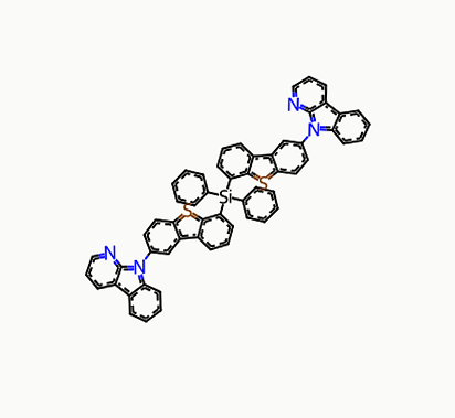 c1ccc([Si](c2ccccc2)(c2cccc3c2sc2ccc(-n4c5ccccc5c5cccnc54)cc23)c2cccc3c2sc2ccc(-n4c5ccccc5c5cccnc54)cc23)cc1